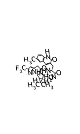 Cc1ccc2[nH]c(=O)c(C[C@H](NC(=O)[C@@H]3[C@@H]4[C@H](CN3C(=O)Cc3cc(C(F)(F)F)n[nH]3)C4(C)C)C(N)=O)cc2c1